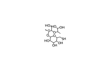 CC(OC(CO)[C@H](C)OC1OC(CS)C(O)C(O)C1O)C(O)O